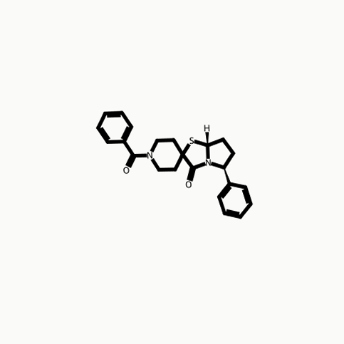 O=C(c1ccccc1)N1CCC2(CC1)S[C@@H]1CC[C@@H](c3ccccc3)N1C2=O